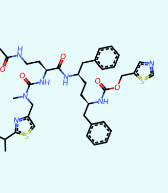 CC(=O)NCC[C@H](NC(=O)N(C)Cc1csc(C(C)C)n1)C(=O)N[C@H](CC[C@H](Cc1ccccc1)NC(=O)OCc1cncs1)Cc1ccccc1